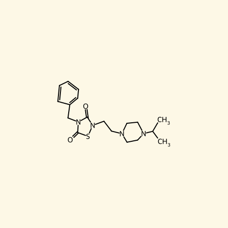 CC(C)N1CCN(CCn2sc(=O)n(Cc3ccccc3)c2=O)CC1